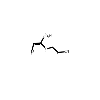 CCC=C(OCCC#N)C(=O)O